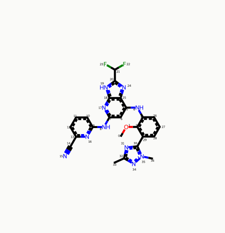 COc1c(Nc2cc(Nc3cccc(C#N)n3)nc3[nH]c(C(F)F)nc23)cccc1-c1nc(C)nn1C